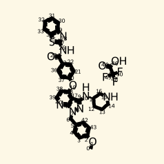 COc1ccc(Cn2nc(N[C@@H]3CCCNC3)c3c(Oc4ccc(C(=O)Nc5nc6ccccc6s5)cc4)ccnc32)cc1.O=C(O)C(F)(F)F